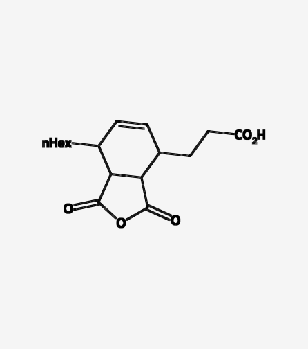 CCCCCCC1C=CC(CCC(=O)O)C2C(=O)OC(=O)C12